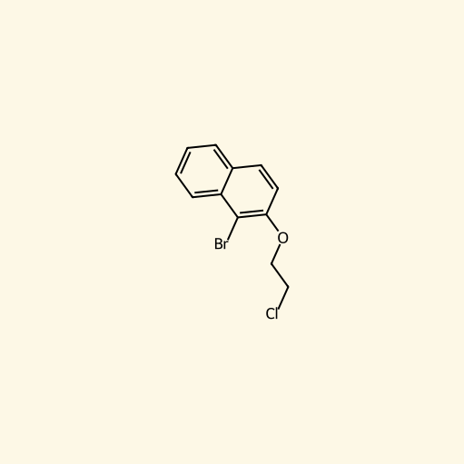 ClCCOc1ccc2ccccc2c1Br